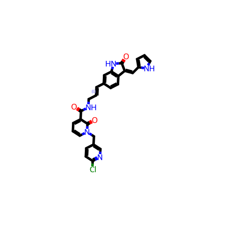 O=C1Nc2cc(/C=C/CNC(=O)c3cccn(Cc4ccc(Cl)nc4)c3=O)ccc2C1=Cc1ccc[nH]1